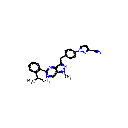 CC(C)c1ccccc1-c1ncc2c(n1)c(Cc1ccc(-n3ccc(C#N)n3)cc1)nn2C